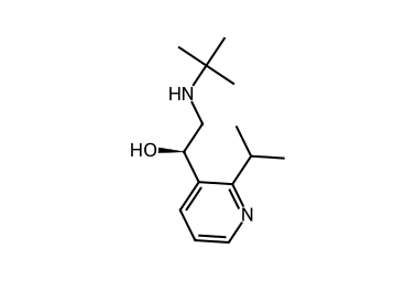 CC(C)c1ncccc1[C@@H](O)CNC(C)(C)C